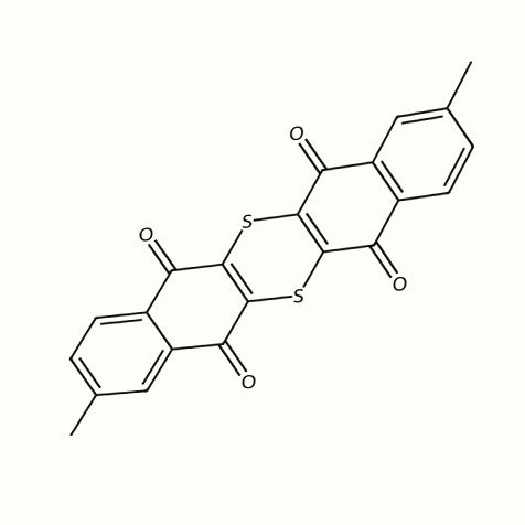 Cc1ccc2c(=O)c3sc4c(=O)c5cc(C)ccc5c(=O)c4sc3c(=O)c2c1